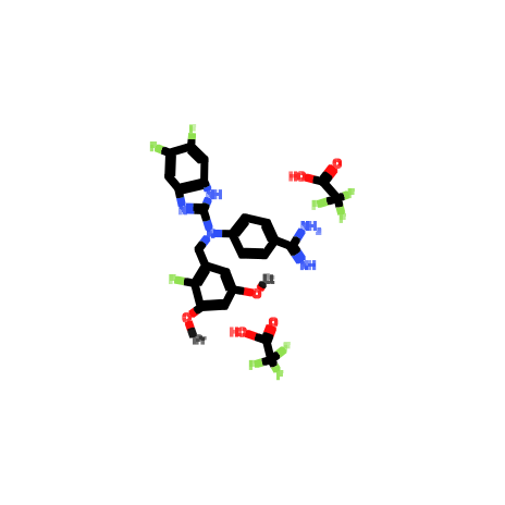 CCOc1cc(CN(c2ccc(C(=N)N)cc2)c2nc3cc(F)c(F)cc3[nH]2)c(F)c(OC(C)C)c1.O=C(O)C(F)(F)F.O=C(O)C(F)(F)F